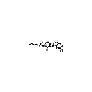 CCCCOC(=O)CN1CCc2sc(-c3nc(Cl)ncc3Cl)cc2C1=O